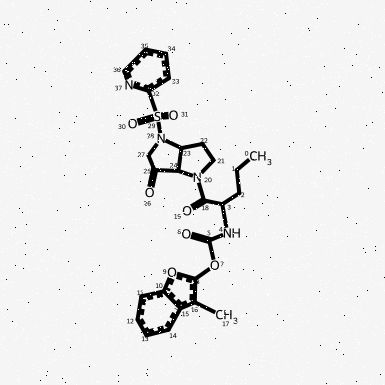 CCCC(NC(=O)Oc1oc2ccccc2c1C)C(=O)N1CCC2C1C(=O)CN2S(=O)(=O)c1ccccn1